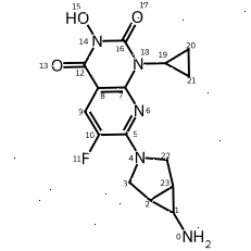 NC1C2CN(c3nc4c(cc3F)c(=O)n(O)c(=O)n4C3CC3)CC12